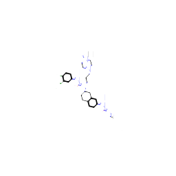 CCNC(=O)Nc1ccc2c(c1)CC(N(CCCN1CCN(C)CC1)C(=O)Nc1ccc(F)c(Cl)c1)CC2